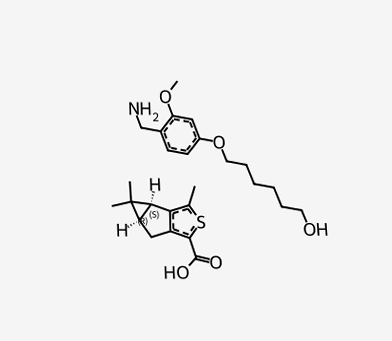 COc1cc(OCCCCCCO)ccc1CN.Cc1sc(C(=O)O)c2c1[C@H]1[C@@H](C2)C1(C)C